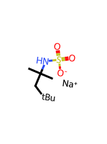 CC(C)(C)CC(C)(C)NS(=O)(=O)[O-].[Na+]